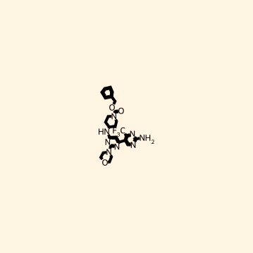 Nc1ncc(-c2cc(NC3CCN(C(=O)OCc4ccccc4)CC3)nc(N3CCOCC3)n2)c(C(F)(F)F)n1